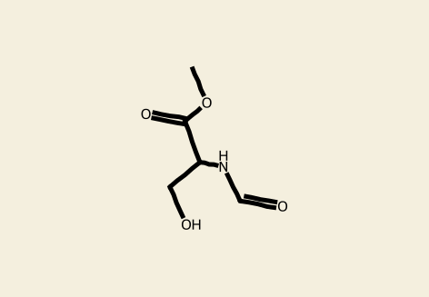 COC(=O)C(CO)NC=O